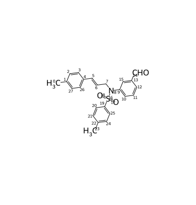 Cc1ccc(/C=C/CN(c2cccc(C=O)c2)S(=O)(=O)c2ccc(C)cc2)cc1